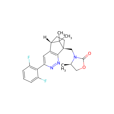 C[C@@H]1COC(=O)N1C[C@@]12CC[C@@H](c3cc(-c4c(F)cccc4F)nnc31)C2(C)C